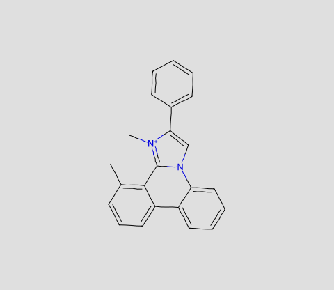 Cc1cccc2c3ccccc3n3cc(-c4ccccc4)[n+](C)c3c12